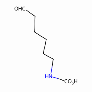 O=CCCCCCNC(=O)O